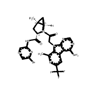 Cc1nc(C(F)(F)F)cc2c3c(N)ncnc3n(CC(=O)N3[C@H](C(=O)Nc4cncc(Br)n4)C[C@@]4(C)C[C@@H]34)c12